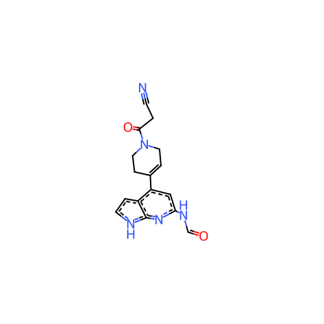 N#CCC(=O)N1CC=C(c2cc(NC=O)nc3[nH]ccc23)CC1